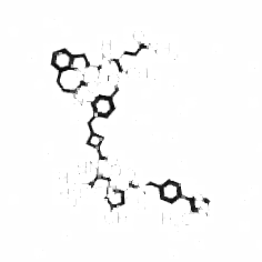 Cc1ncsc1-c1ccc(CNC(=O)[C@@H]2C[C@@H](O)CN2C(=O)[C@@H](NC(=O)C2CC(Cc3ccc(CO[C@H](C)[C@H](CCC(N)=O)NC(=O)[C@@H]4Cc5cccc6c5N4C(=O)[C@@H](N)CC6)cc3)C2)C(C)(C)C)cc1